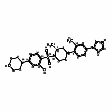 C[C@@H]1CN(c2ccc(-n3cncn3)cc2C(F)(F)F)CCN1S(=O)(=O)c1ccc(N2CCOCC2)cc1Cl